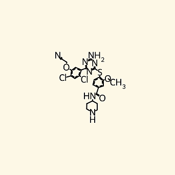 COc1cc(C(=O)NC2CCNCC2)ccc1Sc1nc(N)nc(-c2cc(OCC#N)c(Cl)cc2Cl)n1